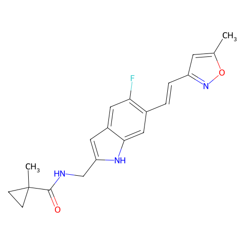 Cc1cc(/C=C/c2cc3[nH]c(CNC(=O)C4(C)CC4)cc3cc2F)no1